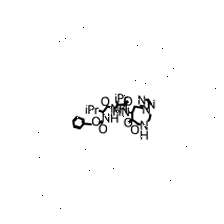 CC(C)C(NC(=O)OCc1ccccc1)C(=O)NC(C(=O)NC1Cc2ncnn2CCNC(=O)C1=O)C(C)C